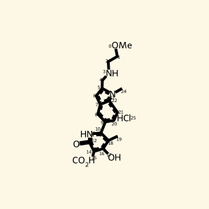 COCCNCc1cc2cc(-c3[nH]c(=O)c(C(=O)O)c(O)c3C)ccc2n1C.Cl